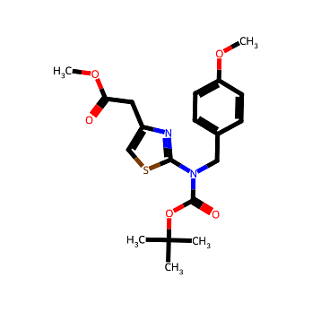 COC(=O)Cc1csc(N(Cc2ccc(OC)cc2)C(=O)OC(C)(C)C)n1